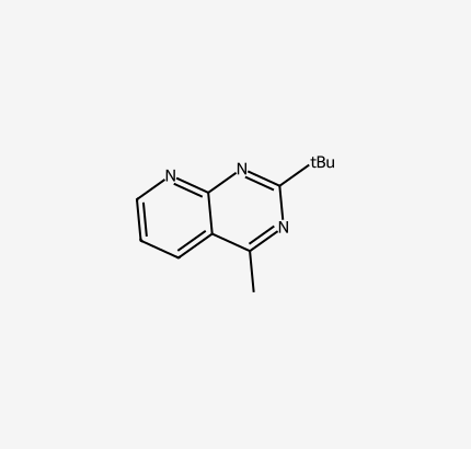 Cc1nc(C(C)(C)C)nc2ncccc12